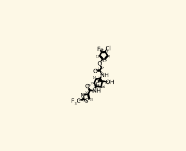 O=C(COc1ccc(Cl)c(F)c1)NC12CCC(NC(=O)c3csc(C(F)(F)F)n3)(CC1)CC2O